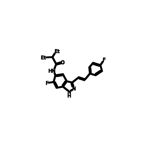 CCC(CC)C(=O)Nc1cc2c(C=Cc3ccc(F)cc3)n[nH]c2cc1F